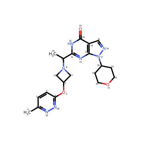 Cc1ccc(OC2CN(C(C)c3nc4c(cnn4C4CCOCC4)c(=O)[nH]3)C2)nn1